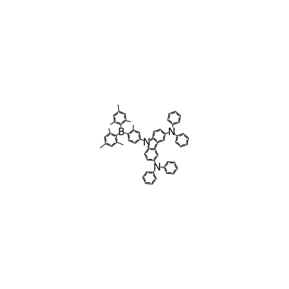 Cc1cc(C)c(B(c2ccc(-n3c4ccc(N(c5ccccc5)c5ccccc5)cc4c4cc(N(c5ccccc5)c5ccccc5)ccc43)cc2C)c2c(C)cc(C)cc2C)c(C)c1